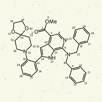 COC(=O)c1cnc(N(Cc2ccccc2)Cc2ccccc2)c2[nH]c(-c3ccccc3N3CCC4(CC3)OCCO4)cc12